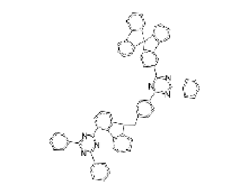 CC1(Cc2ccc(-c3nc(-c4ccccc4)nc(-c4ccc5c(c4)-c4ccccc4C54c5ccccc5-c5ccccc54)n3)cc2)c2ccccc2-c2c(-c3nc(-c4ccccc4)nc(-c4ccccc4)n3)cccc21